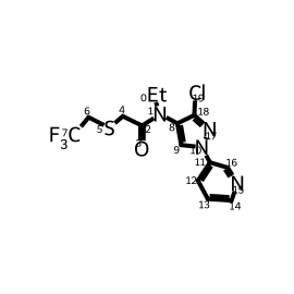 CCN(C(=O)CSCC(F)(F)F)c1cn(-c2cccnc2)nc1Cl